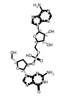 Nc1nc2c(ncn2[C@@H]2O[C@H](CO)C[C@H]2OP(=O)(O)OC[C@H]2O[C@@H](n3cnc4c(N)ncnc43)[C@H](O)[C@@H]2O)c(=O)[nH]1